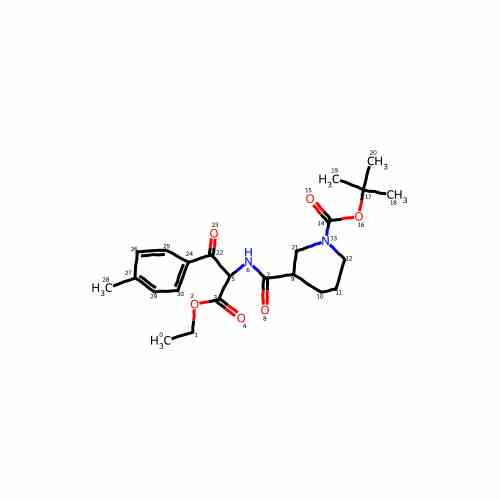 CCOC(=O)C(NC(=O)C1CCCN(C(=O)OC(C)(C)C)C1)C(=O)c1ccc(C)cc1